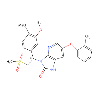 CCOc1cc([C@@H](CS(C)(=O)=O)n2c(=O)[nH]c3cc(Oc4ccccc4C(F)(F)F)cnc32)ccc1OC